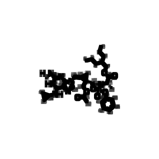 CCCC(CCC)COC(=O)[C@H](C)N[P@](=O)(OC[C@@]1(COC(C)=O)C/C1=C/n1cnc2c1N=C(N)N[C@@H]2NC1CC1)Oc1ccccc1